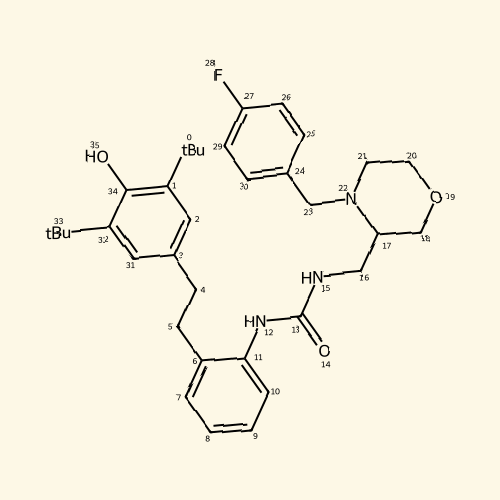 CC(C)(C)c1cc(CCc2ccccc2NC(=O)NCC2COCCN2Cc2ccc(F)cc2)cc(C(C)(C)C)c1O